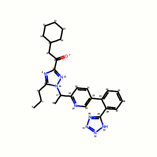 CCCc1nc(C(=O)CC2CCCCC2)nn1C(C)c1ccc(-c2ccccc2-c2nnn[nH]2)cn1